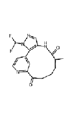 CC1CCCC(=O)c2cc(ccn2)-c2c(cnn2C(F)F)NC1=O